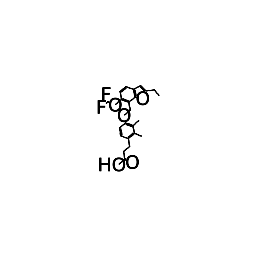 CCc1cc2ccc(OC(F)F)c(COc3ccc(CCC(=O)O)c(C)c3C)c2o1